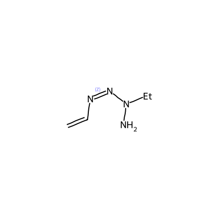 C=C/N=N\N(N)CC